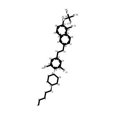 CCCCC[C@H]1CC[C@H](c2c(F)cc(CCc3ccc4c(F)c(OC(F)(F)F)ccc4c3)cc2F)CC1